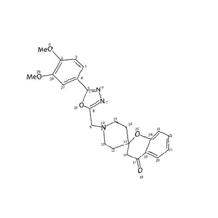 COc1ccc(-c2nnc(CN3CCC4(CC3)CC(=O)c3ccccc3O4)o2)cc1OC